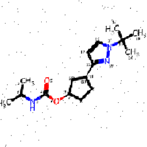 CC(C)NC(=O)O[C@@H]1CC[C@H](c2ccn(C(C)(C)C)n2)C1